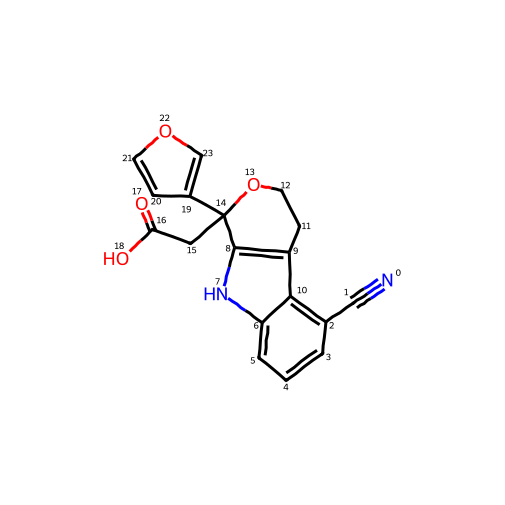 N#Cc1cccc2[nH]c3c(c12)CCOC3(CC(=O)O)c1ccoc1